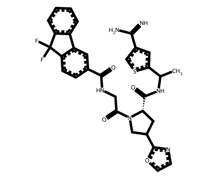 CC(NC(=O)[C@@H]1CC(c2ncco2)CN1C(=O)CNC(=O)c1ccc2c(c1)-c1ccccc1C2(F)F)c1cc(C(=N)N)cs1